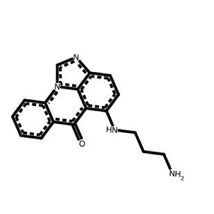 NCCCNc1ccc2ncn3c4ccccc4c(=O)c1c23